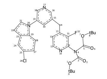 CC(C)(C)OC(=O)N(C(=O)OC(C)(C)C)c1nccc(Cc2cncc(-n3ccc4cc(Cl)ccc43)c2)c1F